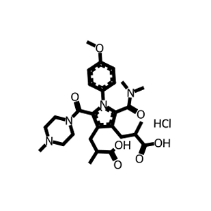 COc1ccc(-n2c(C(=O)N(C)C)c(CC(C)C(=O)O)c(CC(C)C(=O)O)c2C(=O)N2CCN(C)CC2)cc1.Cl